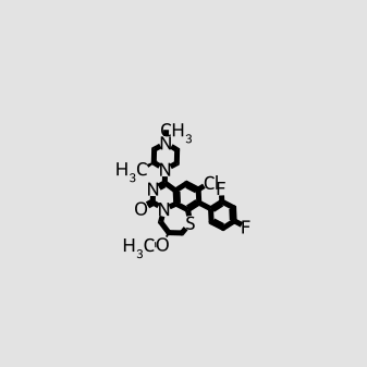 CO[C@H]1CSc2c(-c3ccc(F)cc3F)c(Cl)cc3c(N4CCN(C)C[C@@H]4C)nc(=O)n(c23)C1